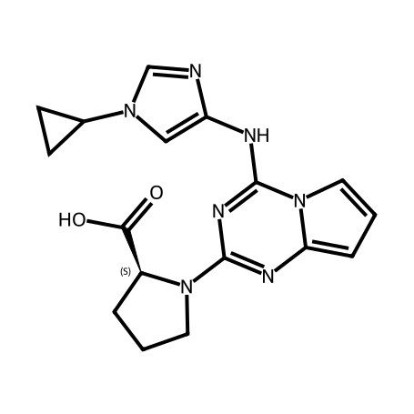 O=C(O)[C@@H]1CCCN1c1nc(Nc2cn(C3CC3)cn2)n2cccc2n1